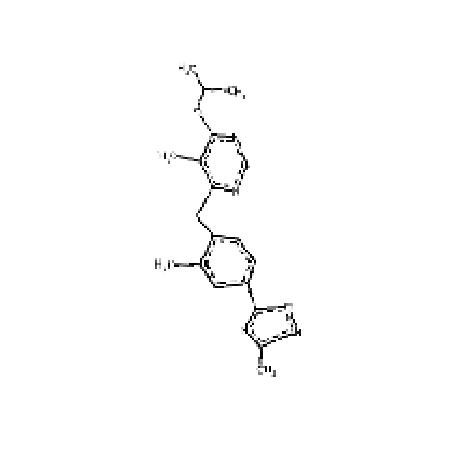 Cc1noc(-c2ccc(Cc3ncnc(OC(C)C)c3C)c(C)c2)n1